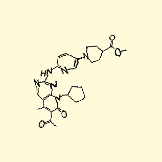 COC(=O)C1CCN(c2ccc(Nc3ncc4c(C)c(C(C)=O)c(=O)n(C5CCCC5)c4n3)nc2)CC1